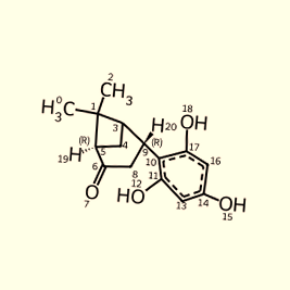 CC1(C)C2C[C@H]1C(=O)C[C@H]2c1c(O)cc(O)cc1O